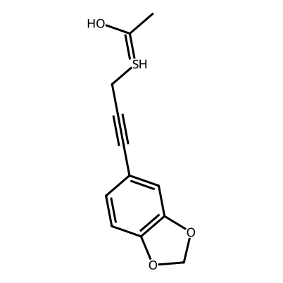 CC(O)=[SH]CC#Cc1ccc2c(c1)OCO2